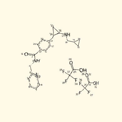 O=C(NCc1ccccn1)c1ccc(C2CC2NCC2CC2)cc1.O=C(O)C(F)(F)F.O=C(O)C(F)(F)F